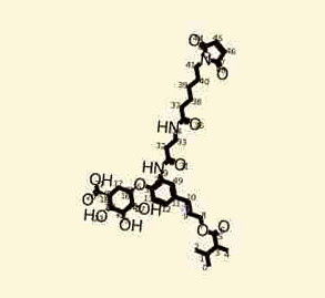 CC(C)C(C)C(=O)OC/C=C/c1ccc(O[C@@H]2C[C@H](C(=O)O)[C@@H](O)[C@H](O)[C@H]2O)c(NC(=O)CCNC(=O)CCCCCN2C(=O)C=CC2=O)c1